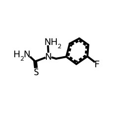 NC(=S)N(N)Cc1cccc(F)c1